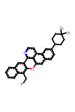 CC(C)Cc1c2c(cc3ccccc13)-c1nccc3c1c(cc1ccc(C4CCC(C)(C)CC4)cc13)O2